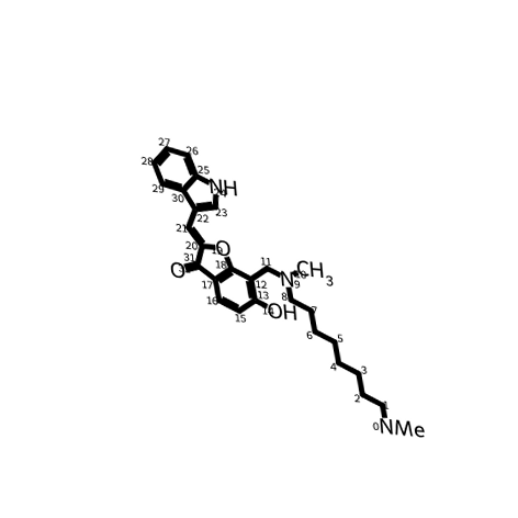 CNCCCCCCCCN(C)Cc1c(O)ccc2c1O/C(=C\c1c[nH]c3ccccc13)C2=O